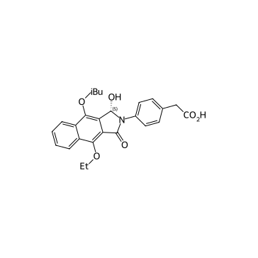 CCOc1c2c(c(OC(C)CC)c3ccccc13)[C@H](O)N(c1ccc(CC(=O)O)cc1)C2=O